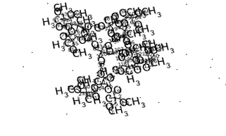 COCC(C)(COC)C(=O)OCC(C)(COC(=O)C(C)(COC)COC)C(=O)OCCOCC(COCCOC(=O)C(C)(COC(=O)C(C)(COC)COC)COC(=O)C(C)(COC)COC)(COCCOC(=O)C(C)(COC(=O)C(C)(COC)COC)COC(=O)C(C)(COC)COC)COCCOC(=O)C(C)(COC(=O)C(C)(COC)COC)COC(=O)C(C)(COC)COC